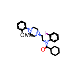 COc1ccccc1N1CCN(CCN(C(=O)C2CCCCC2)c2ccccc2I)CC1